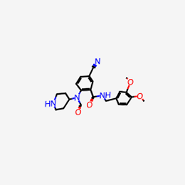 COc1ccc(CNC(=O)c2cc(C#N)ccc2N(C=O)C2CCNCC2)cc1OC